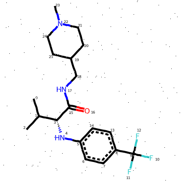 CC(C)[C@@H](Nc1ccc(C(F)(F)F)cc1)C(=O)NCC1CCN(C)CC1